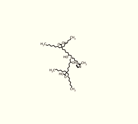 CCCCCCCCC(CCCCCC)(CCCCC(O)CN(CCCn1ccnc1C)CC(O)CCCCC(CCCCCC)(CCCCCCCC)C(=O)O)C(=O)O